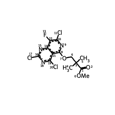 COC(=O)C(C)(C)COc1nc(Cl)c(F)c2nc(Cl)nc(Cl)c12